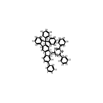 c1ccc(-c2ccc3c4cc5c(cc4n(-c4nc(-c6ccccc6)nc(-c6ccccc6)n4)c3c2)C(c2ccccc2)(c2ccccc2)c2ccccc2-5)cc1